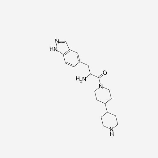 NC(Cc1ccc2[nH]ncc2c1)C(=O)N1CCC(C2CCNCC2)CC1